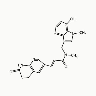 CN(Cc1cn(C)c2c(O)cccc12)C(=O)/C=C/c1cnc2c(c1)CCC(=O)N2